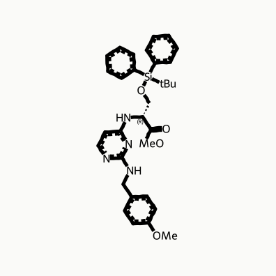 COC(=O)[C@@H](CO[Si](c1ccccc1)(c1ccccc1)C(C)(C)C)Nc1ccnc(NCc2ccc(OC)cc2)n1